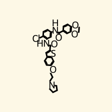 O=C(Nc1ccc(Cl)c(NC(=O)c2cc3ccc(OCCCN4CCCC4)cc3s2)c1)c1ccc2c(c1)OCCO2